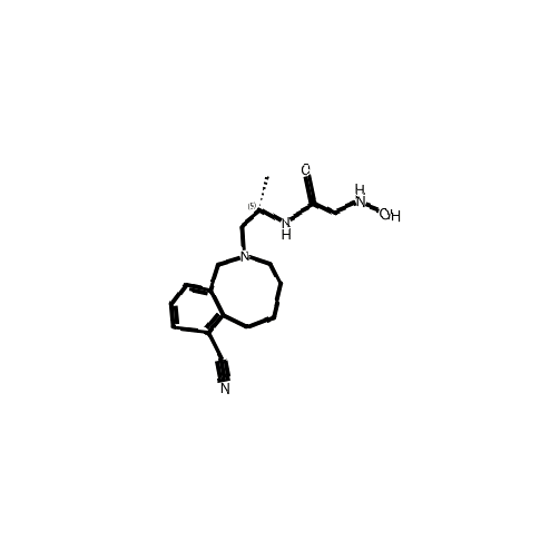 C[C@@H](CN1CCCCc2c(C#N)cccc2C1)NC(=O)CNO